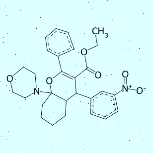 CCOC(=O)C1=C(c2ccccc2)OC2(N3CCOCC3)CCCCC2C1c1cccc([N+](=O)[O-])c1